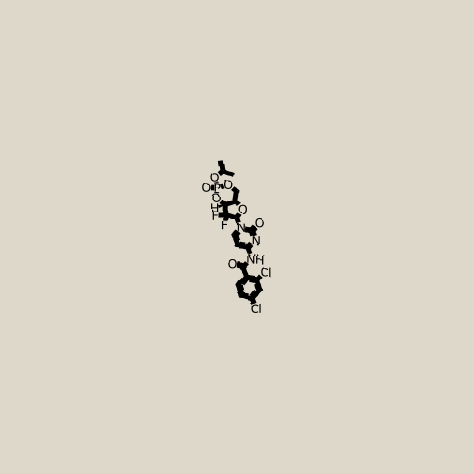 CC(C)OP1(=O)OCC2OC(n3ccc(NC(=O)c4ccc(Cl)cc4Cl)nc3=O)C(F)(F)[C@@H]2O1